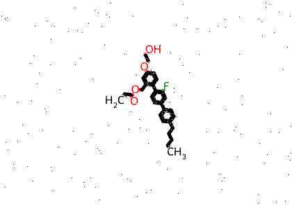 C=CC(=O)OCc1cc(OCCO)ccc1-c1ccc(-c2ccc(CCCCC)cc2)cc1F